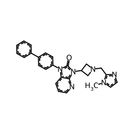 Cn1ccnc1CN1CC(n2c(=O)n(-c3ccc(-c4ccccc4)cc3)c3cccnc32)C1